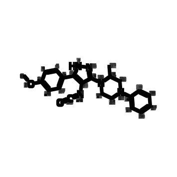 COc1ccc(-c2[nH]nc(N3CCN(c4ccccc4)CC3C)c2N=C=O)cc1